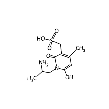 Cc1cc(O)n(CC(C)N)c(=O)c1CS(=O)(=O)O